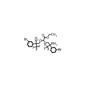 CCOC(=O)C(OCC(N)(c1cccc(Br)c1)C(F)(F)F)OCC(N)(c1cccc(Br)c1)C(F)(F)F